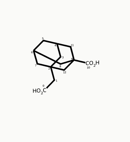 O=C(O)CC12CC3CC(C1)CC(C(=O)O)(C3)C2